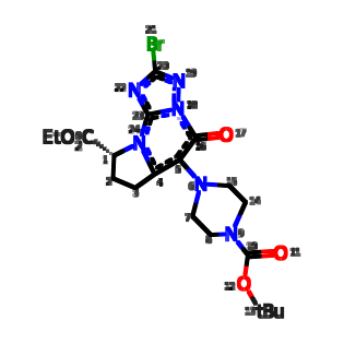 CCOC(=O)[C@H]1CCc2c(N3CCN(C(=O)OC(C)(C)C)CC3)c(=O)n3nc(Br)nc3n21